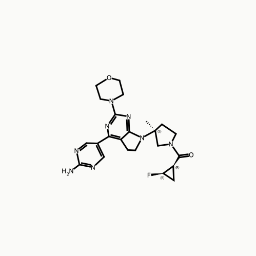 C[C@]1(N2CCc3c(-c4cnc(N)nc4)nc(N4CCOCC4)nc32)CCN(C(=O)[C@H]2C[C@H]2F)C1